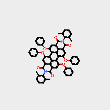 Cc1cccc(C)c1N1C(=O)c2cc(Oc3ccccc3)c3c4c(Oc5ccccc5)cc5c6c(cc(Oc7ccccc7)c(c7c(Oc8ccccc8)cc(c2c37)C1=O)c64)C(=O)N(c1c(C)cccc1C)C5=O